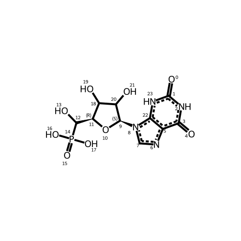 O=c1[nH]c(=O)c2ncn([C@H]3O[C@@H](C(O)P(=O)(O)O)C(O)C3O)c2[nH]1